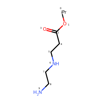 CC(C)OC(=O)CCNCCN